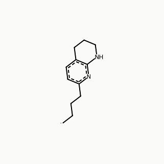 [CH2]CCCc1ccc2c(n1)NCCC2